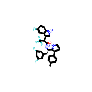 Cc1ccc(-c2cccnc2[C@H](Cc2cc(F)cc(F)c2)NC(=O)C(c2c[nH]c3ccc(F)cc23)C(F)(F)F)cc1